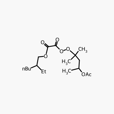 CCCCC(CC)COC(=O)C(=O)OOC(C)(C)CC(C)OC(C)=O